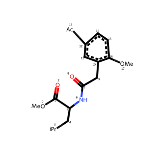 COC(=O)C(CC(C)C)NC(=O)Cc1cc(C(C)=O)ccc1OC